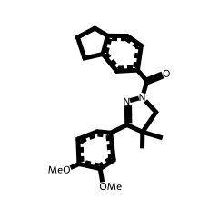 COc1ccc(C2=NN(C(=O)c3ccc4c(c3)CCC4)CC2(C)C)cc1OC